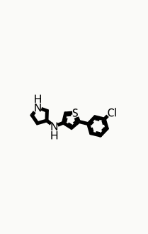 Clc1cccc(-c2cc(NC3CCNC3)cs2)c1